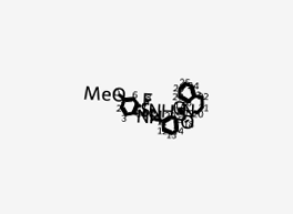 COc1ccc2c(c1)S(F)(NCc1cccc(S(=O)(=O)N3CCCc4ccccc43)c1)N2